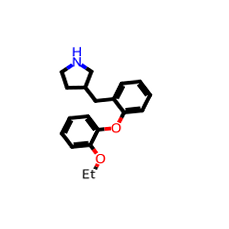 CCOc1ccccc1Oc1ccccc1CC1CCNC1